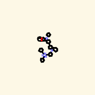 c1ccc(-c2nc(-c3ccccc3)nc(-c3cccc(-n4c5ccccc5c5cc(-c6ccc7c(c6)c6cc8c(cc6n7-c6ccccc6)C6CC7CC(CC8C7)C6)ccc54)c3)n2)cc1